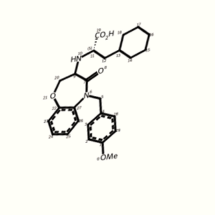 COc1ccc(CN2C(=O)C(N[C@@H](CC3CCCCC3)C(=O)O)COc3ccccc32)cc1